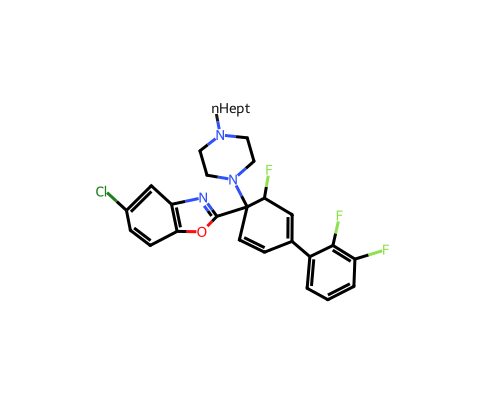 CCCCCCCN1CCN(C2(c3nc4cc(Cl)ccc4o3)C=CC(c3cccc(F)c3F)=CC2F)CC1